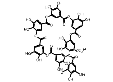 O=C(O)c1cc(O)c(O)c(OC(=O)c2cc(O)c(O)c(OC(=O)c3cc(O)c(O)c(OC(=O)c4cc(O)c(O)c(OC(=O)c5cc(O)c(O)c(OC(=O)c6cc(O)c(O)c(OC(=O)c7cc(O)c(O)c(O)c7)c6)c5)c4)c3)c2)c1